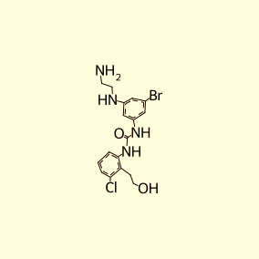 NCCNc1cc(Br)cc(NC(=O)Nc2cccc(Cl)c2CCO)c1